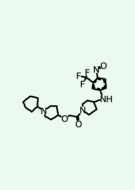 O=Nc1ccc(NC2CCN(C(=O)COC3CCN(C4CCCCC4)CC3)CC2)cc1C(F)(F)F